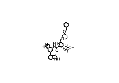 O=C(Nc1cc(-c2cccc3[nH]ccc23)cc2[nH]ncc12)c1cccc(CN2CCCC(OCc3ccccc3)C2)n1.O=C(O)C(F)(F)F